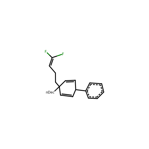 CCCCCCCCCCC1(CCC=C(F)F)C=CC(c2ccccc2)C=C1